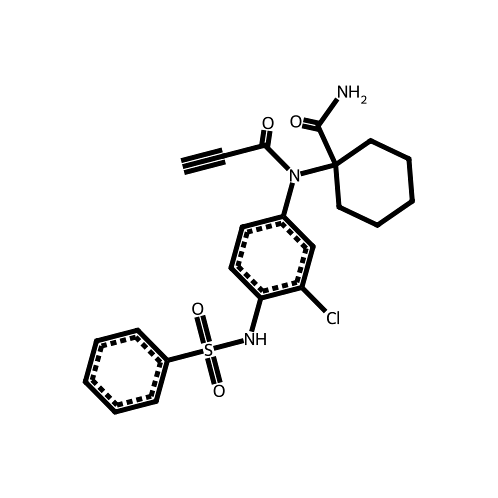 C#CC(=O)N(c1ccc(NS(=O)(=O)c2ccccc2)c(Cl)c1)C1(C(N)=O)CCCCC1